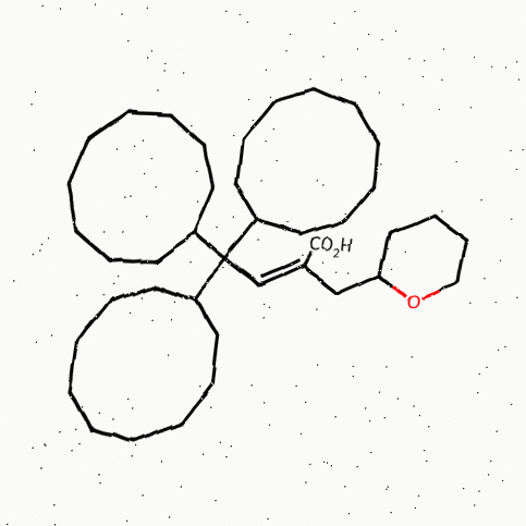 O=C(O)C(=CC(C1CCCCCCCCC1)(C1CCCCCCCCC1)C1CCCCCCCCC1)CC1CCCCO1